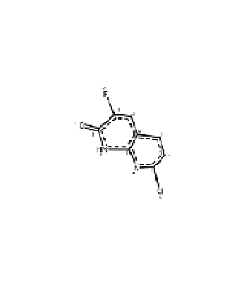 O=c1[nH]c2nc(Cl)ccc2cc1F